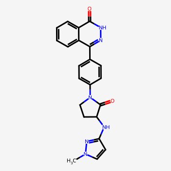 Cn1ccc(NC2CCN(c3ccc(-c4n[nH]c(=O)c5ccccc45)cc3)C2=O)n1